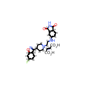 O=C(O)/C=C/C(=O)O.O=C1NC(=O)c2cc(NCCN3CCC(c4noc5cc(F)ccc45)CC3)ccc21